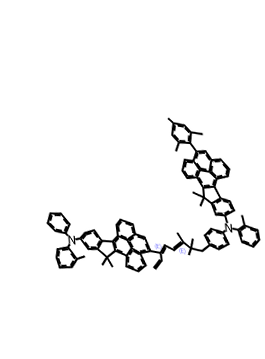 C=C/C(=C\C=C(/C)C(C)(C)Cc1ccc(N(c2ccc3c(c2)C(C)(C)c2c-3c3cccc4cc(-c5c(C)cc(C)cc5C)c5cccc2c5c43)c2ccccc2C)cc1)c1cc2cccc3c4c(c5cccc1c5c23)C(C)(C)c1cc(N(c2ccccc2)c2ccccc2C)ccc1-4